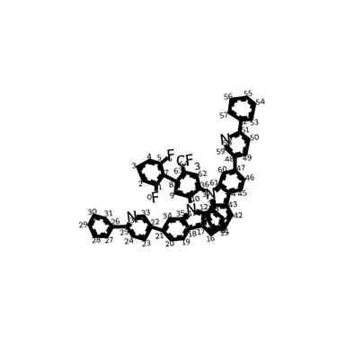 Fc1cccc(F)c1-c1cc(-n2c3ccccc3c3ccc(-c4ccc(-c5ccccc5)nc4)cc32)c(-n2c3ccccc3c3ccc(-c4ccc(-c5ccccc5)nc4)cc32)cc1C(F)(F)F